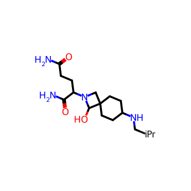 CC(C)CNC1CCC2(CC1)CN(C(CCC(N)=O)C(N)=O)C2O